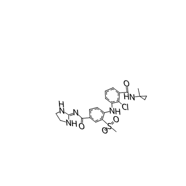 CC1(NC(=O)c2cccc(Nc3ccc(C(=O)N=C4NCCN4)cc3S(C)(=O)=O)c2Cl)CC1